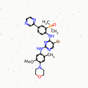 COc1cc(Nc2ncc(Br)c(Nc3ccc(-c4cnccn4)cc3P(C)(C)=O)n2)c(C)cc1N1CCOCC1